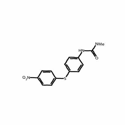 CNC(=O)Nc1ccc(Sc2ccc([N+](=O)[O-])cc2)cc1